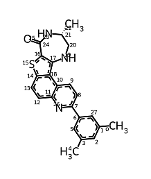 Cc1cc(C)cc(-c2ccc3c(ccc4sc5c(c43)NC[C@@H](C)NC5=O)n2)c1